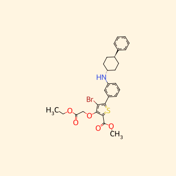 CCOC(=O)COc1c(C(=O)OC)sc(-c2cccc(N[C@H]3CC[C@H](c4ccccc4)CC3)c2)c1Br